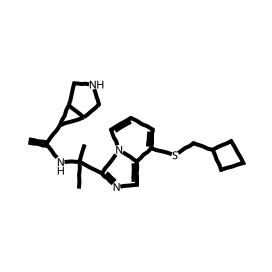 C=C(NC(C)(C)c1ncc2c(SCC3CCC3)cccn12)C1C2CNCC21